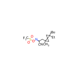 CCC(C)C1(CC)CC12CC2(C)C/C(C#N)=N/OS(=O)(=O)C(F)(F)F